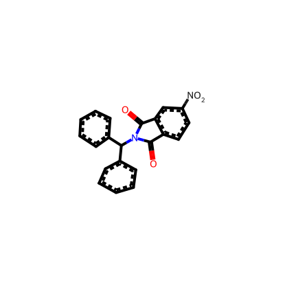 O=C1c2ccc([N+](=O)[O-])cc2C(=O)N1C(c1ccccc1)c1ccccc1